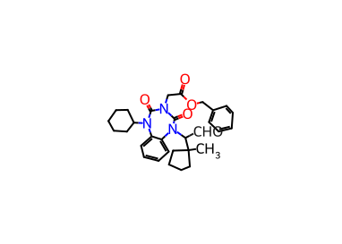 CC1(C(C=O)N2C(=O)N(CC(=O)OCc3ccccc3)C(=O)N(C3CCCCC3)c3ccccc32)CCCC1